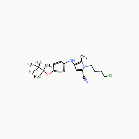 Cc1c(Nc2ccc(O[Si](C)(C)C(C)(C)C)cc2)cc(C#N)n1CCCCCl